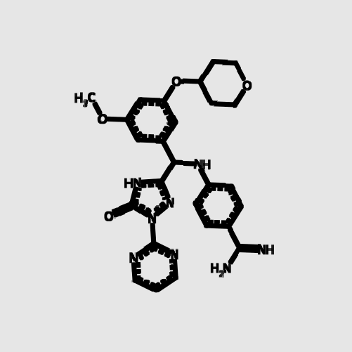 COc1cc(OC2CCOCC2)cc(C(Nc2ccc(C(=N)N)cc2)c2nn(-c3ncccn3)c(=O)[nH]2)c1